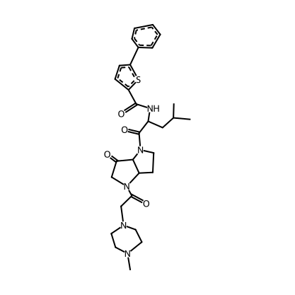 CC(C)CC(NC(=O)c1ccc(-c2ccccc2)s1)C(=O)N1CCC2C1C(=O)CN2C(=O)CN1CCN(C)CC1